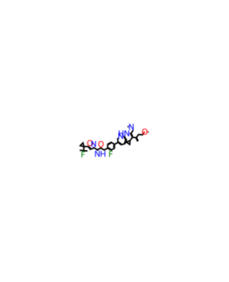 C=C(CCOC)/C(=C(\C=N/C)NC1=C=CC=C(c2ccc(CC(=O)C(=N)c3cc(C4(C(C)(C)F)CC4)on3)c(F)c2)C=N1)C1CC1